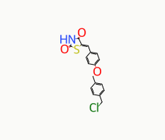 O=C1NC(=O)/C(=C/c2ccc(OCc3ccc(CCl)cc3)cc2)S1